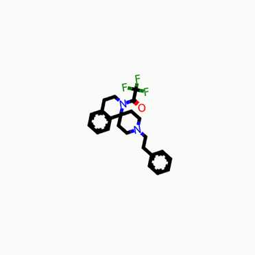 O=C(N1CCc2ccccc2C12CCN(CCc1ccccc1)CC2)C(F)(F)F